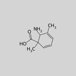 CC1=CC=CC(C)(C(=O)O)C1N